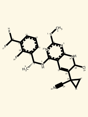 CSc1nc2c(c(N[C@H](C)c3cccc(C(F)F)c3F)n1)C=C(C1(C#N)CC1)C(Cl)N2